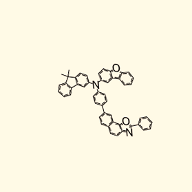 CC1(C)c2ccccc2-c2cc(N(c3ccc(-c4ccc5ccc6nc(-c7ccccc7)oc6c5c4)cc3)c3ccc4oc5ccccc5c4c3)ccc21